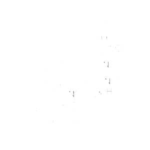 CCOC(=O)Cn1ccnc1C=C1CN(C(c2ccccc2)(c2ccccc2)c2ccccc2)CCC1O